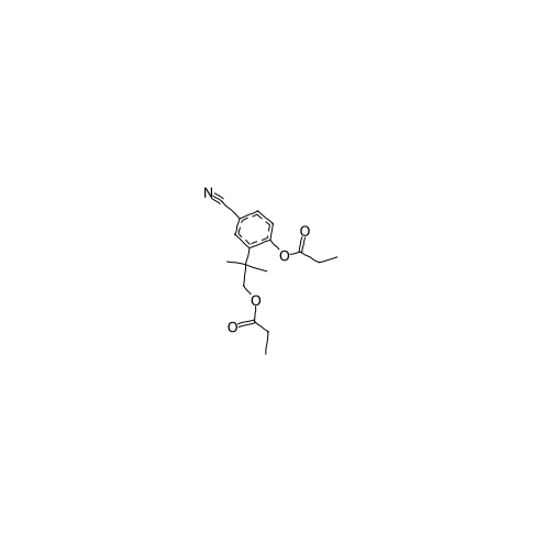 CCC(=O)OCC(C)(C)c1cc(C#N)ccc1OC(=O)CC